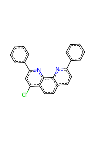 Clc1cc(-c2ccccc2)nc2c1ccc1ccc(-c3ccccc3)nc12